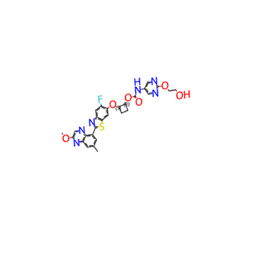 COc1cnc2c(-c3nc4cc(F)c(O[C@H]5CC[C@H]5OC(=O)Nc5cnc(OCCO)nc5)cc4s3)cc(C)cc2n1